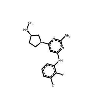 CN[C@@H]1CCN(c2cc(Nc3cccc(Cl)c3F)nc(N)n2)C1